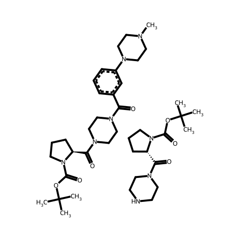 CC(C)(C)OC(=O)N1CCC[C@H]1C(=O)N1CCNCC1.CN1CCN(c2cccc(C(=O)N3CCN(C(=O)[C@@H]4CCCN4C(=O)OC(C)(C)C)CC3)c2)CC1